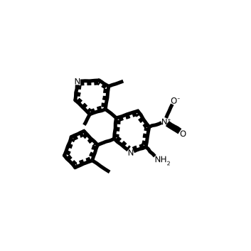 Cc1ccccc1-c1nc(N)c([N+](=O)[O-])cc1-c1c(C)cncc1C